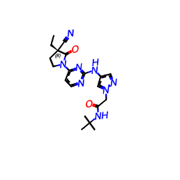 CC[C@]1(C#N)CCN(c2ccnc(Nc3cnn(CC(=O)NC(C)(C)C)c3)n2)C1=O